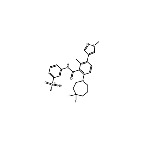 Cc1c(-c2cnn(C)c2)ccc(N2CCCC(F)(F)CC2)c1C(=O)Nc1cccc([S@](C)(=N)=O)c1